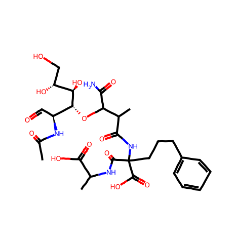 CC(=O)N[C@@H](C=O)[C@@H](OC(C(N)=O)C(C)C(=O)NC(CCCc1ccccc1)(C(=O)O)C(=O)NC(C)C(=O)O)[C@H](O)[C@H](O)CO